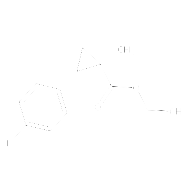 CCOC(=O)[C@]1(C)C[C@H]1c1ccc(F)cc1